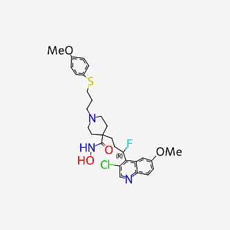 COc1ccc(SCCCN2CCC(CC[C@@H](F)c3c(Cl)cnc4ccc(OC)cc34)(C(=O)NO)CC2)cc1